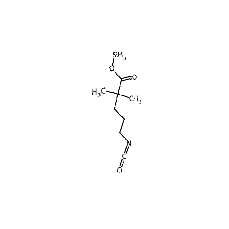 CC(C)(CCCN=C=O)C(=O)O[SiH3]